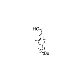 CC1=C(C=CC(C)O)C(C)(C)CC(O[Si](C)(C)C(C)(C)C)C1